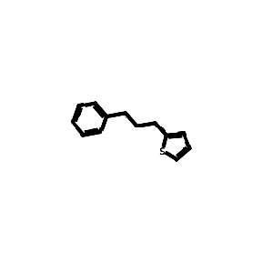 c1ccc(CCCc2cccs2)cc1